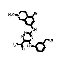 CN1CCc2c(Br)cc(Nc3nnc(C(N)=O)c(Nc4cccc(CO)c4)n3)cc2C1